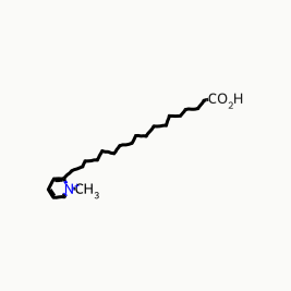 C[n+]1ccccc1CCCCCCCCCCCCCCCCCC(=O)O